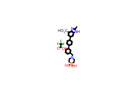 Cc1nc2c(C(=O)O)cc(-c3ccc(-c4cccc(CN5CCS(O)(O)CC5)c4)cc3)cc2[nH]1.O=C(O)C(F)(F)F